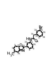 Cc1ccc2oc(-c3cccc(NC(=O)Cc4cccc(Br)c4)c3)nc2c1